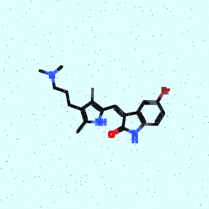 Cc1[nH]c(/C=C2\C(=O)Nc3ccc(Br)cc32)c(C)c1CCCN(C)C